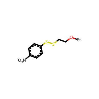 CCOCCSSc1ccc([N+](=O)[O-])cc1